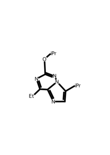 CCc1nc(OC(C)C)nn2c(C(C)C)cnc12